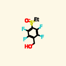 CC[S+]([O-])c1c(F)c(F)c(CO)c(F)c1F